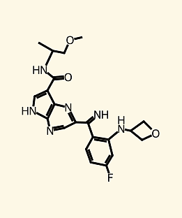 COCC(C)NC(=O)c1c[nH]c2ncc(C(=N)c3ccc(F)cc3NC3COC3)nc12